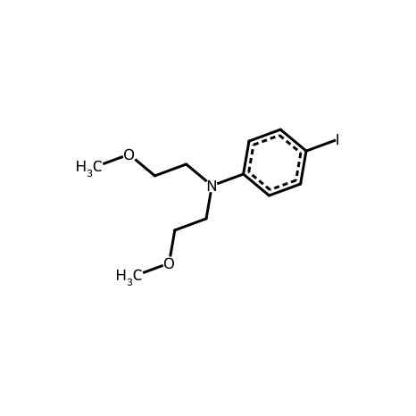 COCCN(CCOC)c1ccc(I)cc1